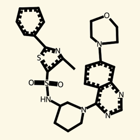 Cc1nc(-c2ccccc2)sc1S(=O)(=O)NC1CCCN(c2ncnc3cc(N4CCOCC4)ccc23)C1